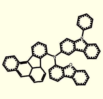 C1=CC2c3c(cccc3N(c3ccc4c(c3)c3ccccc3n4-c3ccccc3)c3cccc4c3oc3ccccc34)C3=c4ccccc4=CC(=C1)C32